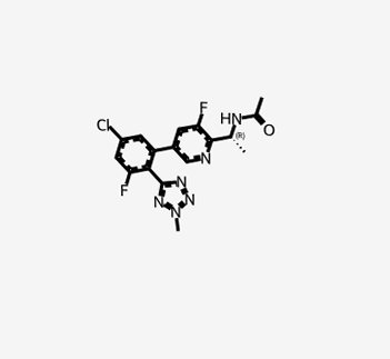 CC(=O)N[C@H](C)c1ncc(-c2cc(Cl)cc(F)c2-c2nnn(C)n2)cc1F